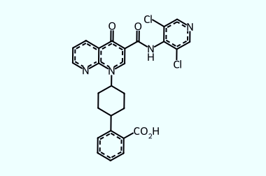 O=C(O)c1ccccc1C1CCC(n2cc(C(=O)Nc3c(Cl)cncc3Cl)c(=O)c3cccnc32)CC1